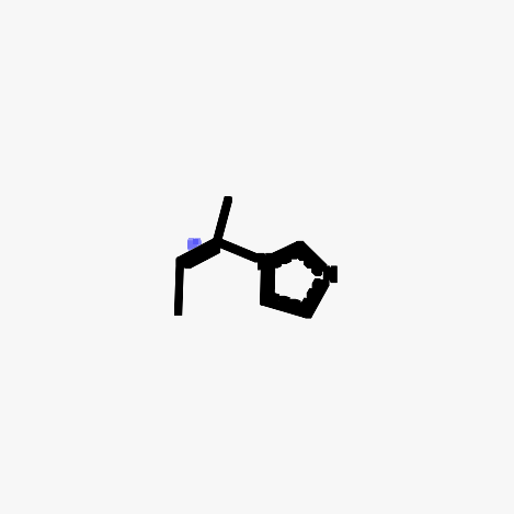 C/C=C(/C)n1ccnc1